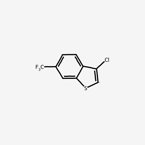 FC(F)(F)c1ccc2c(Cl)[c]sc2c1